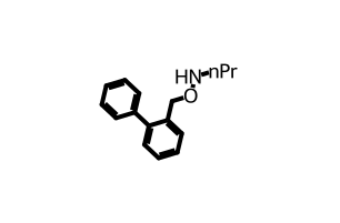 CCCNOCc1ccccc1-c1ccccc1